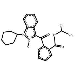 O=C(OC(C(F)(F)F)C(F)(F)F)c1ccccc1C(=O)c1c2ccccc2n(C2CCCCC2)[n+]1[O-]